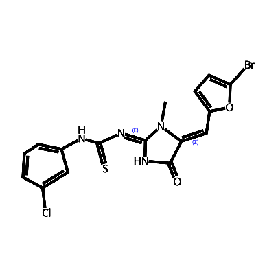 CN1/C(=C\c2ccc(Br)o2)C(=O)N/C1=N\C(=S)Nc1cccc(Cl)c1